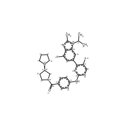 Cc1nc2c(F)cc(-c3nc(Nc4ccc(C(=O)N5CC[C@@H](N6CCCC6)C5)cn4)ncc3F)cc2n1C(C)C